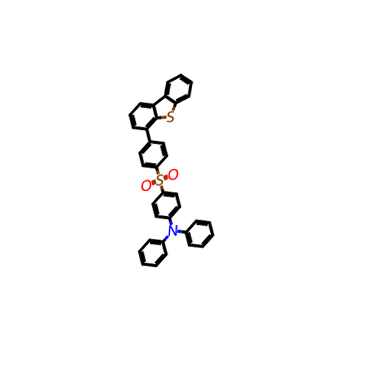 O=S(=O)(c1ccc(-c2cccc3c2sc2ccccc23)cc1)c1ccc(N(c2ccccc2)c2ccccc2)cc1